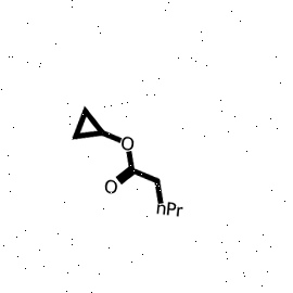 [CH2]CCCC(=O)OC1CC1